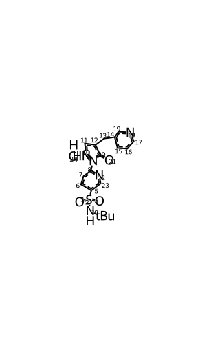 CC(C)(C)NS(=O)(=O)c1ccc(-n2[nH]cc(Cc3cccnc3)c2=O)nc1.Cl